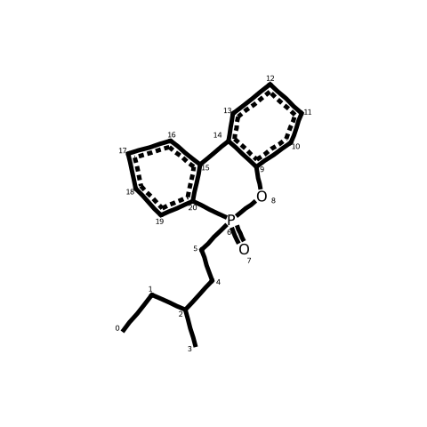 CCC(C)CCP1(=O)Oc2ccccc2-c2ccccc21